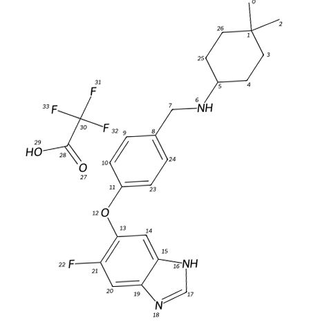 CC1(C)CCC(NCc2ccc(Oc3cc4[nH]cnc4cc3F)cc2)CC1.O=C(O)C(F)(F)F